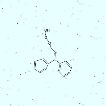 OOOC[C]=C(c1ccccc1)c1ccccc1